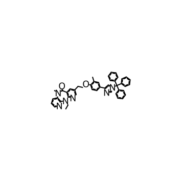 CCN1c2ncc(CCOc3ccc(-c4cn(C(c5ccccc5)(c5ccccc5)c5ccccc5)cn4)cc3C)cc2C(=O)N(C)c2cccnc21